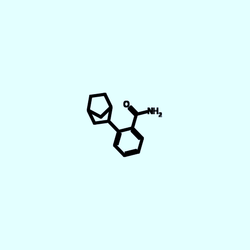 NC(=O)c1ccccc1C1CC2CCC1C2